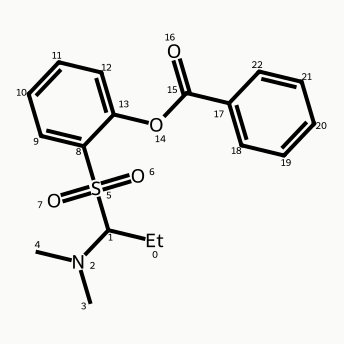 CCC(N(C)C)S(=O)(=O)c1ccccc1OC(=O)c1ccccc1